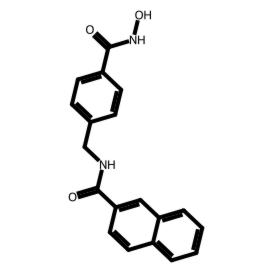 O=C(NO)c1ccc(CNC(=O)c2ccc3ccccc3c2)cc1